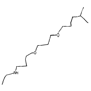 CCNCCCOCCCOCCCC(C)C